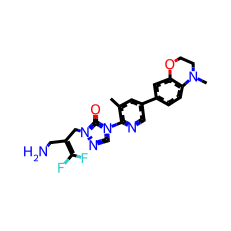 Cc1cc(-c2ccc3c(c2)OCCN3C)cnc1-n1cnn(CC(CN)=C(F)F)c1=O